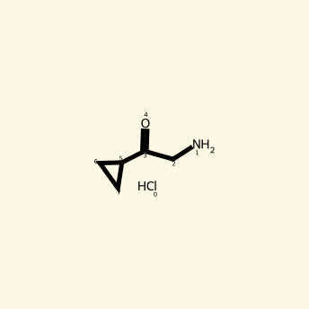 Cl.NCC(=O)C1CC1